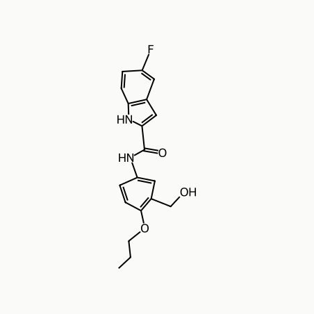 CCCOc1ccc(NC(=O)c2cc3cc(F)ccc3[nH]2)cc1CO